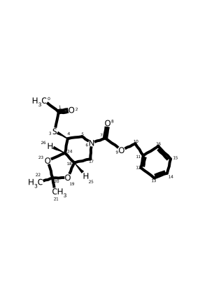 CC(=O)S[C@H]1CN(C(=O)OCc2ccccc2)C[C@@H]2OC(C)(C)O[C@@H]21